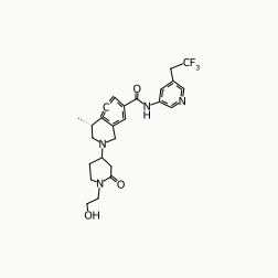 C[C@H]1CN(C2CCN(CCO)C(=O)C2)Cc2cc(C(=O)Nc3cncc(CC(F)(F)F)c3)ccc21